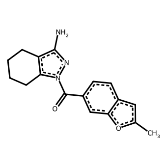 Cc1cc2ccc(C(=O)n3nc(N)c4c3CCCC4)cc2o1